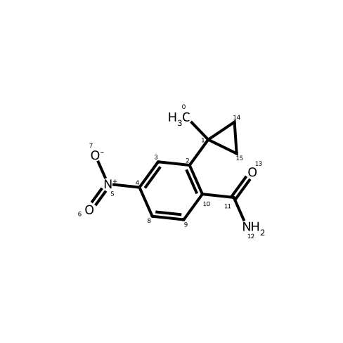 CC1(c2cc([N+](=O)[O-])ccc2C(N)=O)CC1